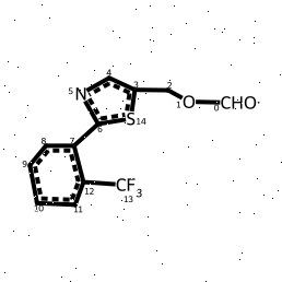 O=[C]OCc1cnc(-c2ccccc2C(F)(F)F)s1